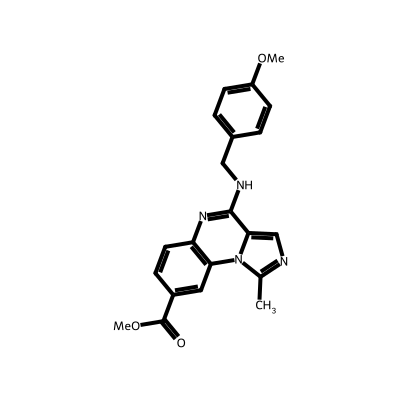 COC(=O)c1ccc2nc(NCc3ccc(OC)cc3)c3cnc(C)n3c2c1